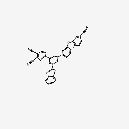 N#Cc1ccc2c(c1)oc1cc(-c3cc(-c4ccc(C#N)c(C#N)c4)cc(-c4nc5ccccc5s4)c3)ccc12